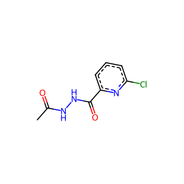 CC(=O)NNC(=O)c1cccc(Cl)n1